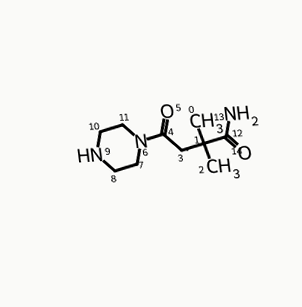 CC(C)([CH]C(=O)N1CCNCC1)C(N)=O